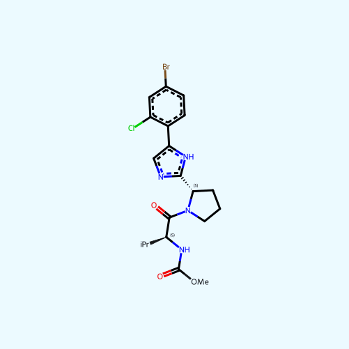 COC(=O)N[C@H](C(=O)N1CCC[C@H]1c1ncc(-c2ccc(Br)cc2Cl)[nH]1)C(C)C